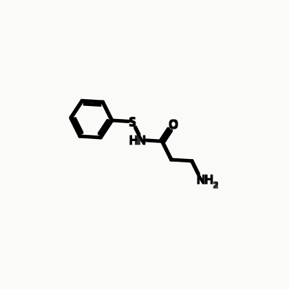 NCCC(=O)NSc1ccccc1